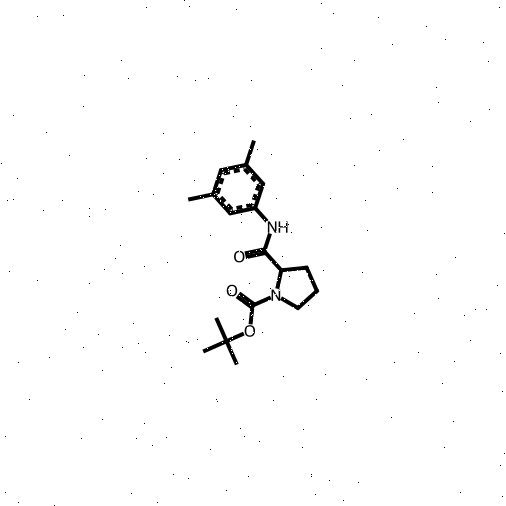 Cc1cc(C)cc(NC(=O)C2CCCN2C(=O)OC(C)(C)C)c1